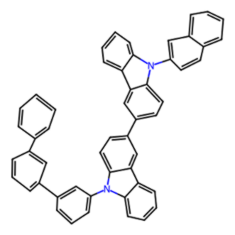 c1ccc(-c2cccc(-c3cccc(-n4c5ccccc5c5cc(-c6ccc7c(c6)c6ccccc6n7-c6ccc7ccccc7c6)ccc54)c3)c2)cc1